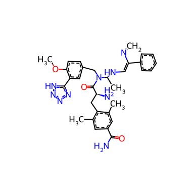 C=N/C(=C\NC(C)N(Cc1ccc(OC)c(-c2nnn[nH]2)c1)C(=O)[C@@H](N)Cc1c(C)cc(C(N)=O)cc1C)c1ccccc1